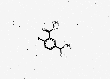 CNC(=O)c1cc(C(C)C)ccc1F